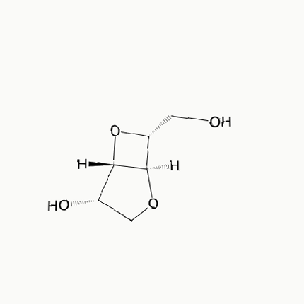 OC[C@H]1O[C@@H]2[C@@H]1OC[C@@H]2O